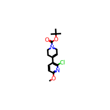 COc1ccc(C2=CCN(C(=O)OC(C)(C)C)CC2)c(Cl)n1